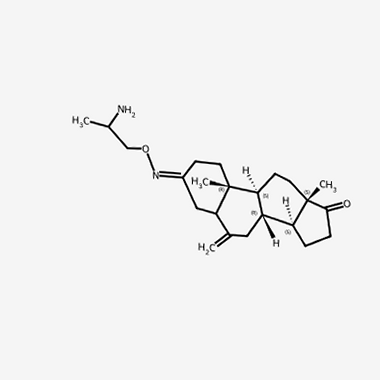 C=C1C[C@@H]2[C@H](CC[C@]3(C)C(=O)CC[C@@H]23)[C@@]2(C)CCC(=NOCC(C)N)CC12